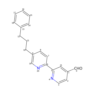 O=Cc1ccnc(-c2ccc(CCCc3ccccc3)cn2)c1